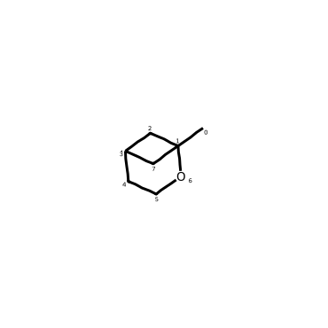 CC12C[C](CCO1)C2